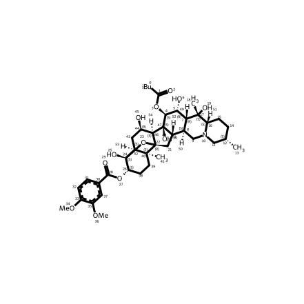 CCC(C)C(=O)O[C@H]1[C@H](O)[C@H]2[C@@H](CN3C[C@@H](C)CC[C@H]3[C@@]2(C)O)[C@@H]2C[C@]34O[C@]5(O)[C@@H](OC(=O)c6ccc(OC)c(OC)c6)CC[C@@]3(C)[C@@H]5C[C@@H](O)[C@H]4[C@@]21O